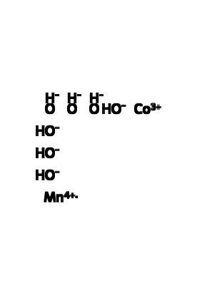 [Co+3].[Mn+4].[OH-].[OH-].[OH-].[OH-].[OH-].[OH-].[OH-]